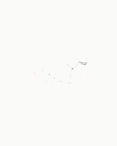 CC(Cl)(C(O)(Cl)C(Cl)(Cl)C(Cl)(Cl)C(Cl)(Cl)S(=O)(=O)F)C(Cl)(Cl)C(O)(Cl)C(Cl)=C(Cl)Cl